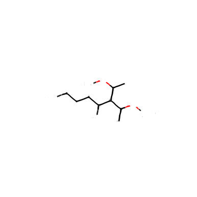 CCCCCCOC(C)C(C(C)OCCCCCC)C(CCCC(=O)O)C(=O)O